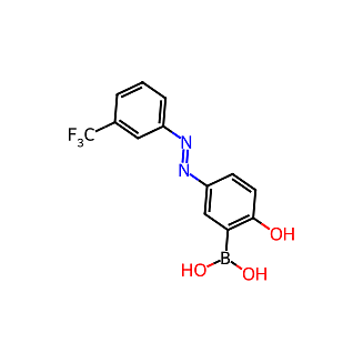 OB(O)c1cc(N=Nc2cccc(C(F)(F)F)c2)ccc1O